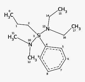 CCC[Si](c1ccccc1)(N(C)C)N(CC)CC